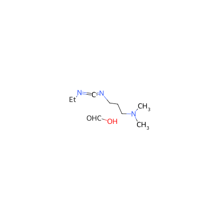 CCN=C=NCCCN(C)C.O=CO